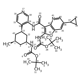 C[C@@H]1CC(NC(=O)OC(C)(C)C)C[C@H](c2ccncc2NC(=O)c2c(NC(=O)OC(C)(C)C)oc3cc(C4CC4)cnc23)C1